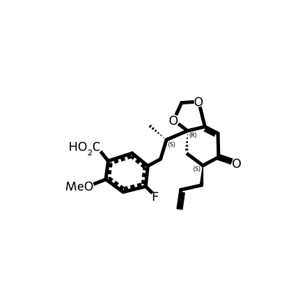 C=CC[C@H]1C[C@]2([C@@H](C)Cc3cc(C(=O)O)c(OC)cc3F)OCOC2=CC1=O